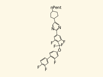 CCCCCC1CCC(c2cnc(-c3cc(F)c(C(F)(F)Oc4ccc(-c5ccc(F)c(F)c5)c(F)c4)c(F)c3)nc2)CC1